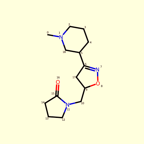 CN1CCCC(C2=NOC(CN3CCCC3=O)C2)C1